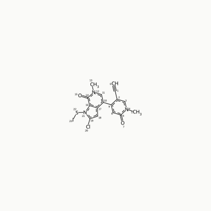 C#Cc1cn(C)c(=O)cc1-c1cn(C)c(=O)c2c1cc(Cl)n2SI